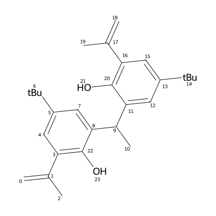 C=C(C)c1cc(C(C)(C)C)cc(C(C)c2cc(C(C)(C)C)cc(C(=C)C)c2O)c1O